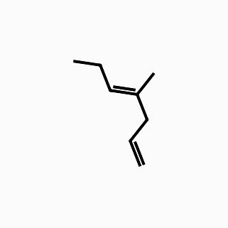 C=CCC(C)=CCC